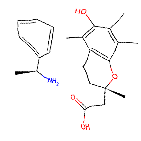 C[C@H](N)c1ccccc1.Cc1c(C)c2c(c(C)c1O)CC[C@@](C)(CC(=O)O)O2